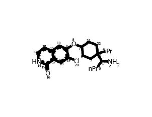 CCCC(N)C1(C(C)C)CCC(Oc2cc3cc[nH]c(=O)c3cc2Cl)CC1